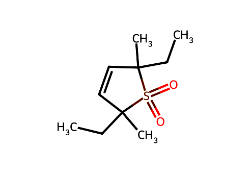 CCC1(C)C=CC(C)(CC)S1(=O)=O